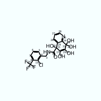 O=C(NCc1cccc(C(F)(F)F)c1Cl)[C@@]1(O)C(O)=C(O)C(O)(O)c2ncccc21